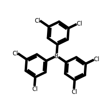 Clc1cc(Cl)cc(B(c2cc(Cl)cc(Cl)c2)c2cc(Cl)cc(Cl)c2)c1